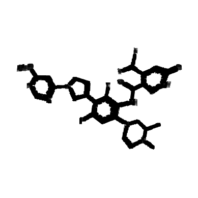 COc1cc(N2CC=C(c3c(F)cc(N4CCN(C)C(C)C4)c(NC(=O)c4c[nH]c(=O)cc4C(F)F)c3F)C2)ncn1